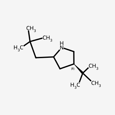 CC(C)(C)CC1C[C@H](C(C)(C)C)CN1